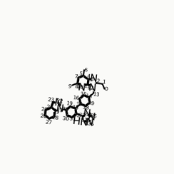 CCc1nc2c(C)cc(C)nc2n1Cc1ccc(-c2cc(-n3ncc4ccccc43)ccc2-c2nnn[nH]2)cc1